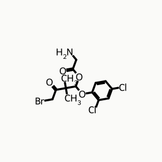 CC(C)(C(=O)CBr)C(OC(=O)CN)Oc1ccc(Cl)cc1Cl